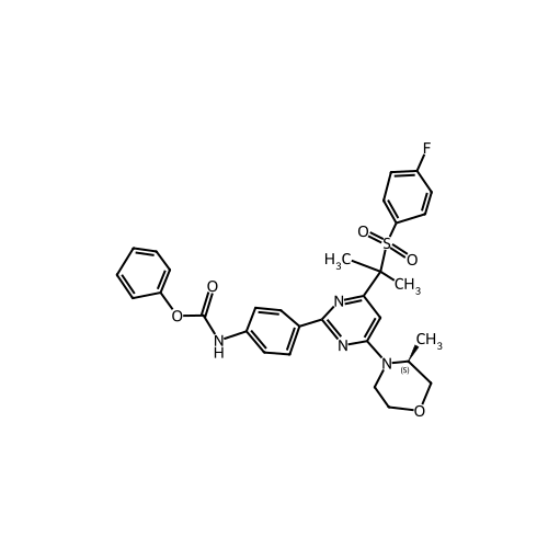 C[C@H]1COCCN1c1cc(C(C)(C)S(=O)(=O)c2ccc(F)cc2)nc(-c2ccc(NC(=O)Oc3ccccc3)cc2)n1